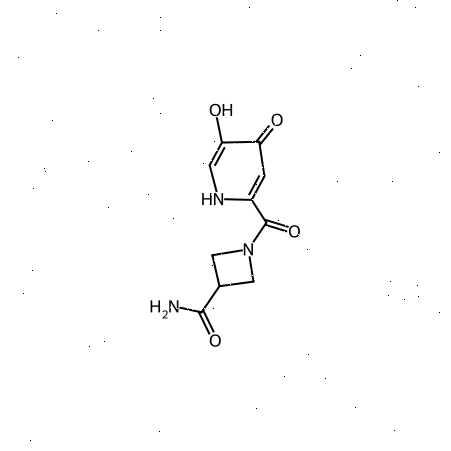 NC(=O)C1CN(C(=O)c2cc(=O)c(O)c[nH]2)C1